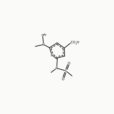 CCCN(C)c1cc(C(=O)O)cc(N(C)S(C)(=O)=O)n1